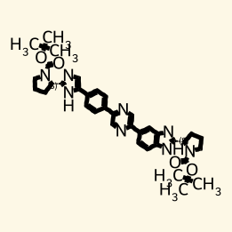 CC(C)(C)OC(=O)N1CCC[C@H]1c1ncc(-c2ccc(-c3cnc(-c4ccc5[nH]c([C@@H]6CCCN6C(=O)OC(C)(C)C)nc5c4)cn3)cc2)[nH]1